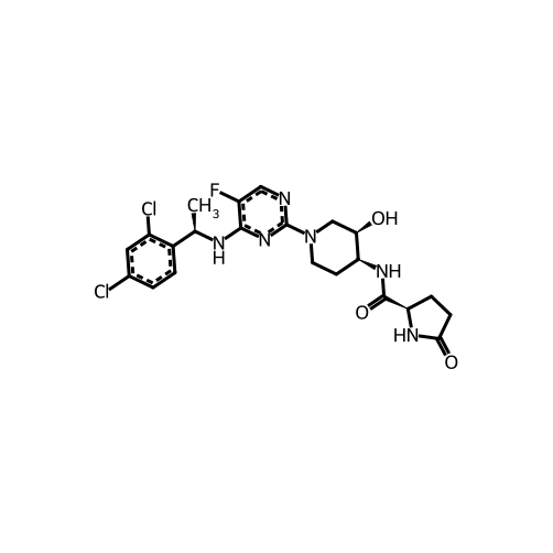 C[C@@H](Nc1nc(N2CC[C@H](NC(=O)[C@H]3CCC(=O)N3)[C@H](O)C2)ncc1F)c1ccc(Cl)cc1Cl